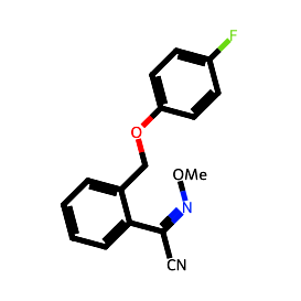 CO/N=C(/C#N)c1ccccc1COc1ccc(F)cc1